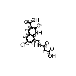 O=C(O)CC(=O)NCc1cc(Cl)cc2cc(C(=O)O)c(=O)[nH]c12